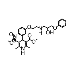 COC(=O)C1=C(C)NC(C)=C(C(=O)OC)C1c1cc(OCCNCC(O)COc2ccccc2)ccc1[N+](=O)[O-]